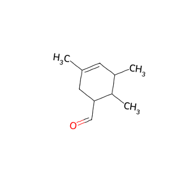 CC1=CC(C)C(C)C(C=O)C1